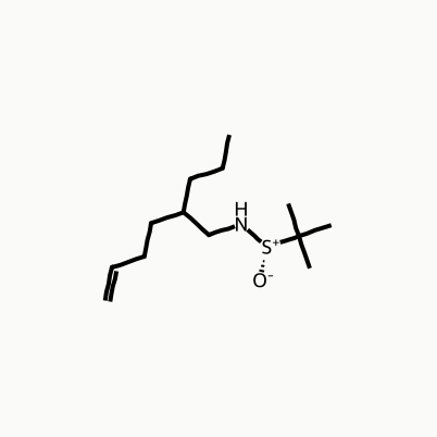 C=CCCC(CCC)CN[S@@+]([O-])C(C)(C)C